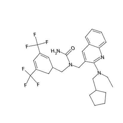 CCN(CC1CCCC1)c1nc2ccccc2cc1CN(CC1C=C(C(F)(F)F)C=C(C(F)(F)F)C1)C(N)=O